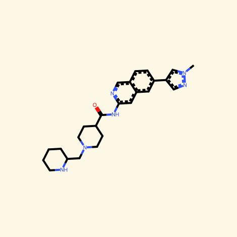 Cn1cc(-c2ccc3cnc(NC(=O)C4CCN(CC5CCCCN5)CC4)cc3c2)cn1